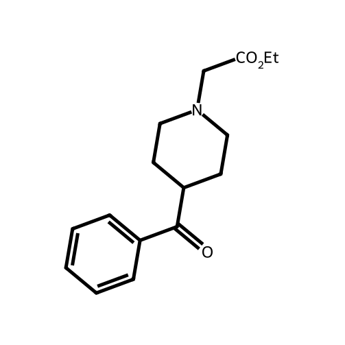 CCOC(=O)CN1CCC(C(=O)c2ccccc2)CC1